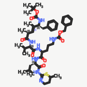 C/C(=C\[C@@H](C)C(=O)N[C@H](C(=O)NC(CCCNC(=O)OCc1ccccc1)C(=O)N[C@@H](CC(C)C)C(=O)NC1=NCCC(C)S1)C(C)C)[C@@H](Cc1ccccc1)NC(=O)OC(C)(C)C